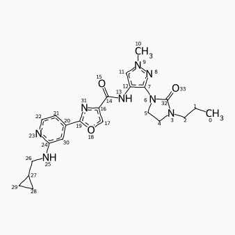 CCCN1CCN(c2nn(C)cc2NC(=O)c2coc(-c3ccnc(NCC4CC4)c3)n2)C1=O